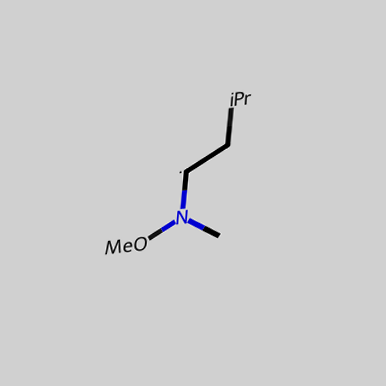 CON(C)[CH]CC(C)C